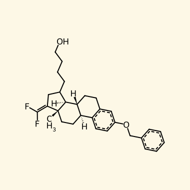 C[C@]12CC[C@@H]3c4ccc(OCc5ccccc5)cc4CC[C@H]3[C@@H]1C(CCCCO)CC2=C(F)F